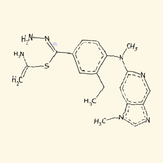 C=C(N)S/C(=N\N)c1ccc(N(C)c2cc3c(cn2)ncn3C)c(CC)c1